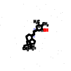 C=C1[C@H](C)C/C(=C/C=C2\CCC[C@]34C[C@](C)(CC)[C@@]3(C)CCC24)C[C@H]1O